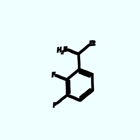 BC(CC)c1cccc(F)c1F